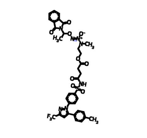 Cc1ccc(-c2cc(C(F)(F)F)nn2-c2ccc(S(=O)(=O)NC(=O)CCC(=O)OCCN(C)/[N+]([O-])=N/OC(C)N3C(=O)c4ccccc4C3=O)cc2)cc1